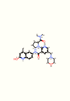 Cc1cc(O)nc2ccc(NC(=O)c3cc(CN4CCOCC4)cnc3N3CCCC3C(=O)N(C)C)cc12